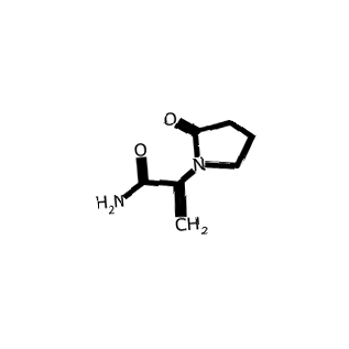 C=C(C(N)=O)N1CCCC1=O